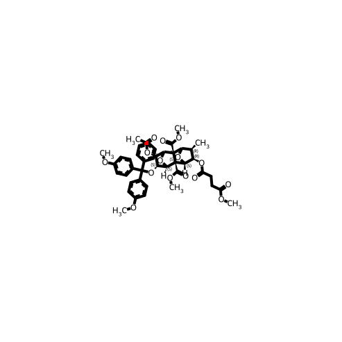 COC(=O)CCC(=O)O[C@@H]1[C@H](C)C2O[C@H]1[C@]1(C(=O)OC)[C@@H]3OC([C@@H](OC(C)=O)[C@H]3OC(c3ccccc3)(c3ccc(OC)cc3)c3ccc(OC)cc3)[C@]21C(=O)OC